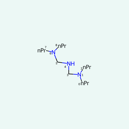 CCCN(CCC)CNCN(CCC)CCC